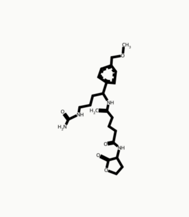 C=C(CCCC(=O)NC1CCOC1=O)NC(CCCNC(N)=O)c1ccc(COC)cc1